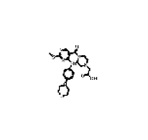 CSc1ncc(C(=O)N2CCN(CC(=O)O)CC2)c(Nc2ccc(N3CCOCC3)cc2)n1